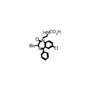 CCC(C)[C@@H]1N=C(c2ccccc2)c2cc(Cl)ccc2N(CCNC(=O)O)C1=O